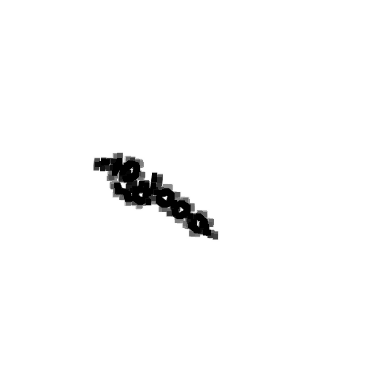 CCc1cc2cnc(Nc3ccc(N4CCC(N5CCN(C)CC5)CC4)cc3)nc2n1-c1cccc(C(C)(C)O)n1